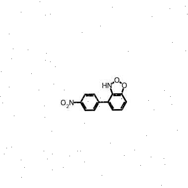 O=[N+]([O-])c1ccc(-c2cccc3c2NOO3)cc1